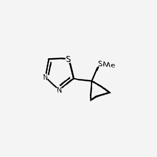 CSC1(c2nncs2)CC1